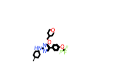 C[C@H]1CC[C@H](Nc2ncc(-c3ccc(OC(F)(F)F)cc3)c(OCC3CCOCC3)n2)CC1